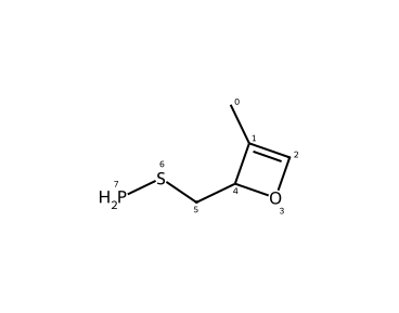 CC1=COC1CSP